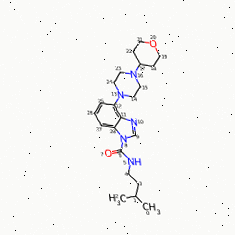 CC(C)CCNC(=O)n1cnc2c(N3CCN(C4CCOCC4)CC3)cccc21